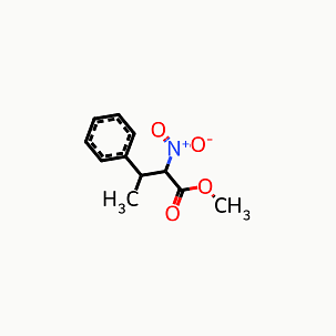 COC(=O)C(C(C)c1ccccc1)[N+](=O)[O-]